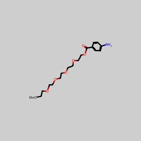 COCCOCCOCCOCCOCCOC(=O)c1ccc(N)cc1